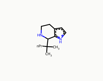 CCCC(C)(C)C1NCCc2cc[nH]c21